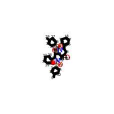 Cc1ccc(S(=O)(=O)N2C[C@H]3C(=O)CC(c4ccccc4)N(S(=O)(=O)c4ccc(C)cc4)[C@@H]3CC2c2ccccc2)cc1